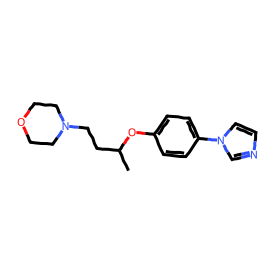 CC(CCN1CCOCC1)Oc1ccc(-n2ccnc2)cc1